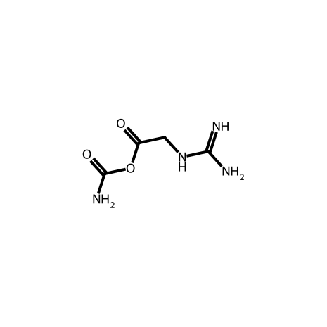 N=C(N)NCC(=O)OC(N)=O